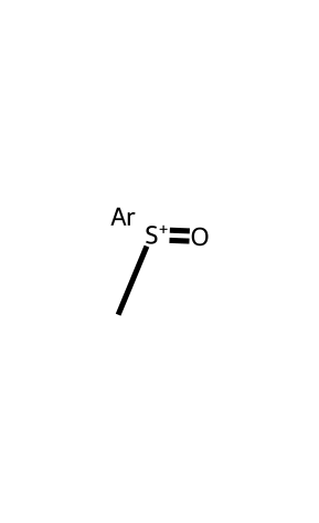 C[S+]=O.[Ar]